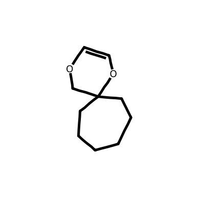 C1=COC2(CCCCCC2)CO1